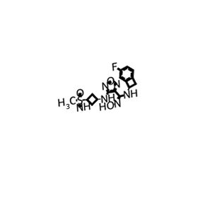 CS(=N)(=O)[C@H]1C[C@H](Nc2nonc2/C(=N\O)N[C@@H]2Cc3ccc(F)cc32)C1